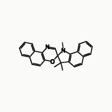 CN1c2c(ccc3ccccc23)C(C)(C)C12C=Nc1c(ccc3ccccc13)O2